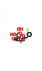 O=C(O)C(=Cc1cccc(F)c1)O[C@H]1O[C@@H](CO)[C@@H](O)[C@@H](O)[C@@H]1O